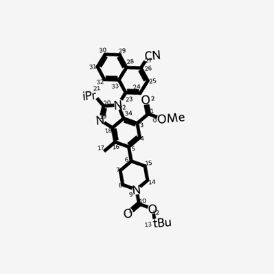 COC(=O)c1cc(C2CCN(C(=O)OC(C)(C)C)CC2)c(C)c2nc(C(C)C)n(-c3ccc(C#N)c4ccccc34)c12